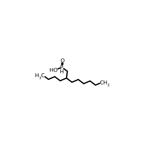 CCCCCCC(CCCC)C[PH](=O)O